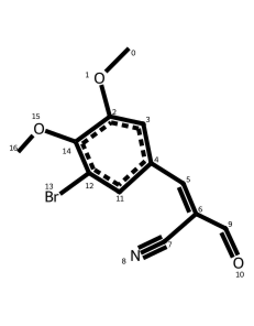 COc1cc(/C=C(\C#N)C=O)cc(Br)c1OC